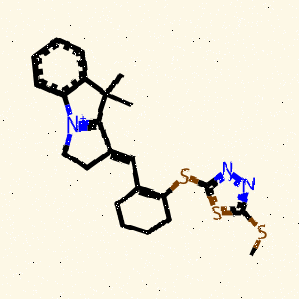 CSc1nnc(SC2=C(/C=C3\CC[N+]4=C3C(C)(C)c3ccccc34)CCCC2)s1